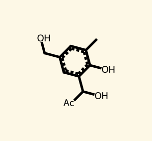 CC(=O)C(O)c1cc(CO)cc(C)c1O